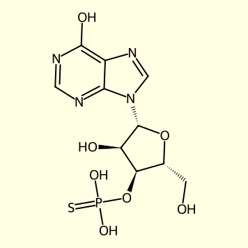 OC[C@H]1O[C@@H](n2cnc3c(O)ncnc32)[C@H](O)[C@@H]1OP(O)(O)=S